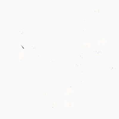 COc1cccc2c1c(NS(=O)(=O)c1ccc(Cl)s1)nn2Cc1cccc(CNC(=O)[C@H]2CCCN2)c1.O=C(O)C(F)(F)F